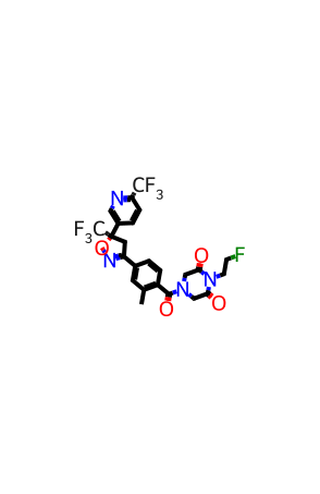 Cc1cc(C2=NOC(c3ccc(C(F)(F)F)nc3)(C(F)(F)F)C2)ccc1C(=O)N1CC(=O)N(CCF)C(=O)C1